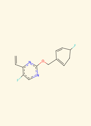 C=Cc1nc(OCC2=CCC(F)C=C2)ncc1F